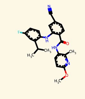 COc1ccc(NC(=O)c2ccc(C#N)cc2Nc2ccc(F)cc2C(C)C)c(C)n1